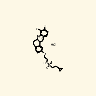 Cl.NC1CCc2ccc(OCCNS(=O)(=O)CCC3CC3)cc2C1Cc1ccc(Cl)c(Cl)c1